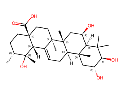 C[C@@H]1CC[C@]2(C(=O)O)CC[C@]3(C)C(=CC[C@@H]4[C@@]5(C)C[C@@H](O)[C@H](O)C(C)(C)[C@@H]5[C@H](O)C[C@]43C)[C@@H]2[C@]1(C)O